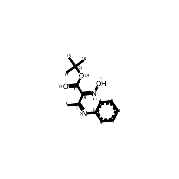 CC(=Nc1ccccc1)C(=NO)C(=O)OC(C)(C)C